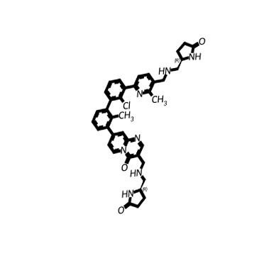 Cc1nc(-c2cccc(-c3cccc(-c4ccn5c(=O)c(CNC[C@H]6CCC(=O)N6)cnc5c4)c3C)c2Cl)ccc1CNC[C@H]1CCC(=O)N1